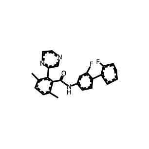 Cc1ccc(C)c(-c2cnccn2)c1C(=O)Nc1ccc(-c2ccccc2F)c(F)c1